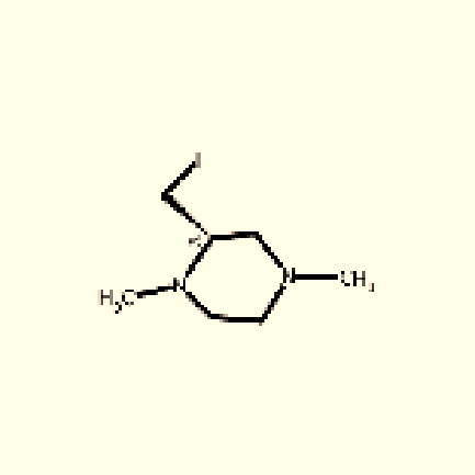 CN1CCN(C)[C@@H](CI)C1